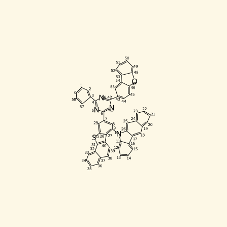 c1ccc(-c2nc(-c3cc(-n4c5ccccc5c5cc6ccccc6cc54)c4c(c3)sc3c5ccccc5ccc34)nc(-c3ccc4oc5ccccc5c4c3)n2)cc1